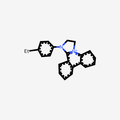 CCc1ccc(N2CC[n+]3c2c2ccccc2c2ccccc23)cc1